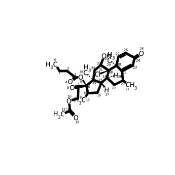 CCCC(=O)O[C@]1(C(=O)COC(C)=O)C(C)C[C@H]2[C@@H]3CC(C)C4=CC(=O)C=C[C@]4(C)[C@@]3(Cl)C(O)C[C@@]21C